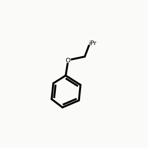 CC(C)COc1ccccc1